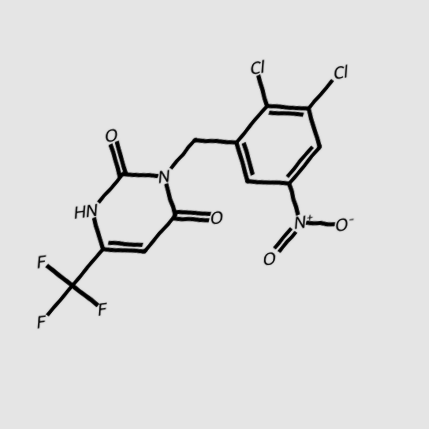 O=c1cc(C(F)(F)F)[nH]c(=O)n1Cc1cc([N+](=O)[O-])cc(Cl)c1Cl